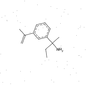 C=C(C)c1cccc(C(C)(N)CC)c1